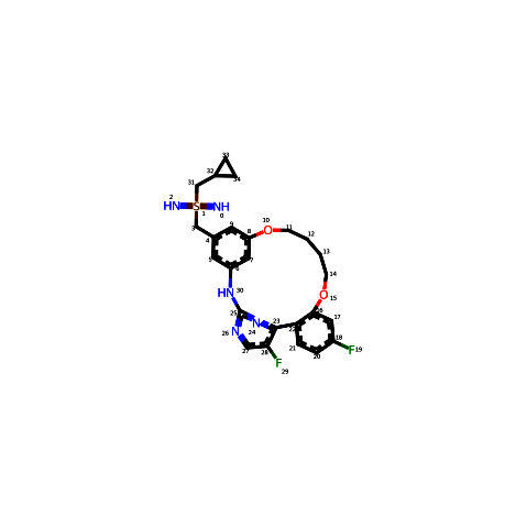 N=S(=N)(Cc1cc2cc(c1)OCCCCOc1cc(F)ccc1-c1nc(ncc1F)N2)CC1CC1